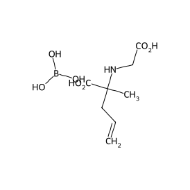 C=CCC(C)(NCC(=O)O)C(=O)O.OB(O)O